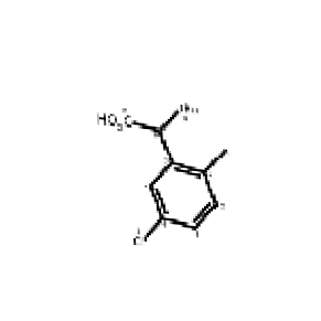 Cc1ccc(Cl)cc1C(C(=O)O)C(C)(C)C